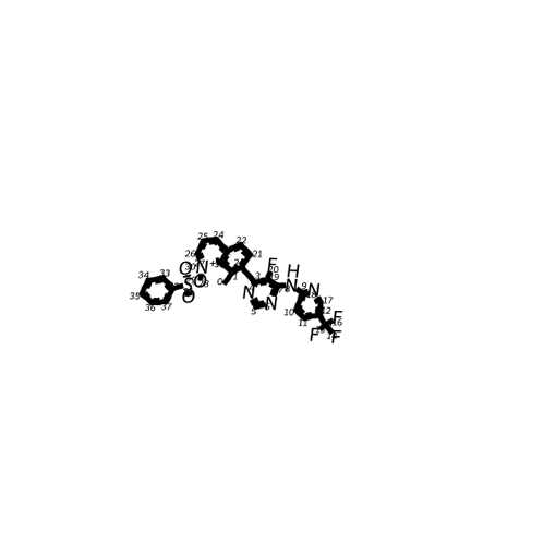 Cc1c(-c2ncnc(Nc3ccc(C(F)(F)F)cn3)c2F)ccc2ccc[n+](OS(=O)(=O)c3ccccc3)c12